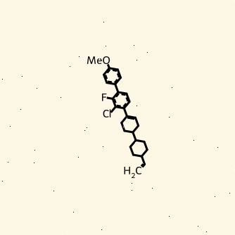 C=CC1CCC(C2CC=C(c3ccc(-c4ccc(OC)cc4)c(F)c3Cl)CC2)CC1